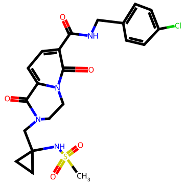 CS(=O)(=O)NC1(CN2CCn3c(ccc(C(=O)NCc4ccc(Cl)cc4)c3=O)C2=O)CC1